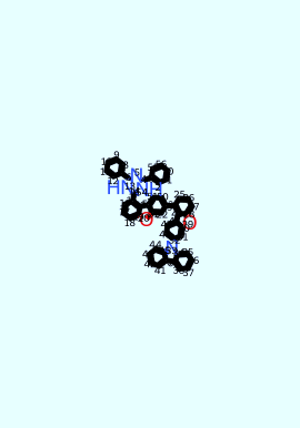 c1ccc(C2=NC(c3ccccc3)NC(c3cccc4oc5cc(-c6cccc7oc8cc(-n9c%10ccccc%10c%10ccccc%109)ccc8c67)ccc5c34)N2)cc1